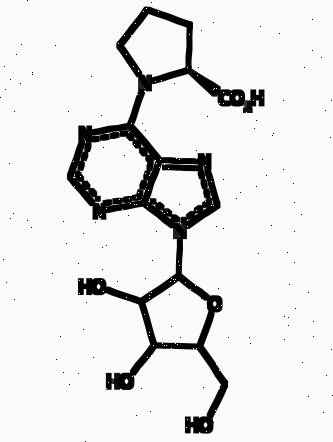 O=C(O)[C@@H]1CCCN1c1ncnc2c1ncn2C1OC(CO)C(O)C1O